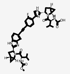 COC(=O)N[C@H](C(=O)N1[C@@H]2C[C@@H]2C[C@H]1c1nc2cc(C#Cc3ccc(-c4c[nH]c([C@@H]5C[C@H]6C[C@H]6N5C(=O)[C@@H](NC(=O)O)C(C)C)n4)c(F)c3)ccc2[nH]1)C(C)C